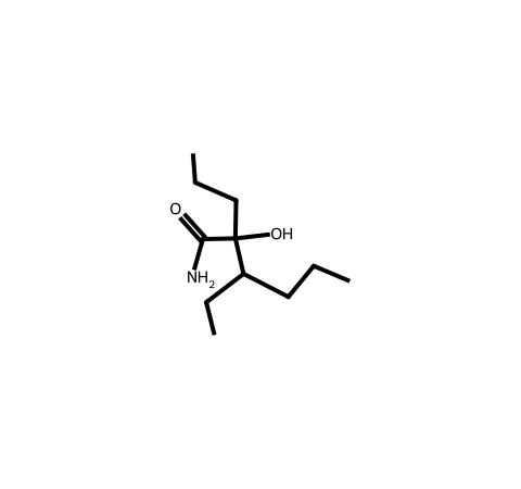 CCCC(CC)C(O)(CCC)C(N)=O